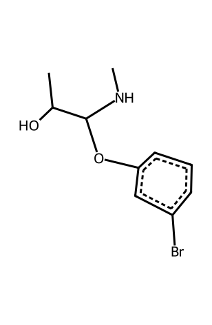 CNC(Oc1cccc(Br)c1)C(C)O